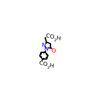 O=C(O)CC1=NN(c2ccc(C(=O)O)cc2)C(=O)C1